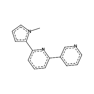 Cn1cccc1-c1cccc(-c2cccnc2)n1